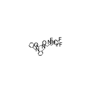 N[C@@H](CC(=O)N1CC(=O)N(Cc2ccccc2)c2ccccc2C1)Cc1cc(F)c(F)cc1F